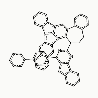 c1ccc(-c2ccc(-c3nc(C4CCc5ccccc5-c5cc6c7ccccc7n7c8cc9ccccc9cc8c(c54)c67)nc4c3sc3ccccc34)cc2)cc1